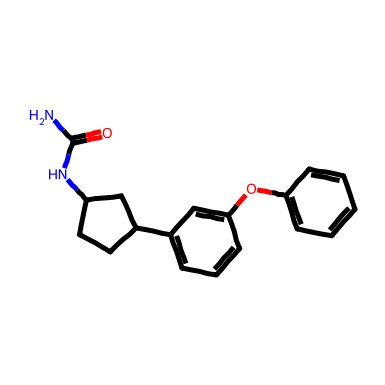 NC(=O)NC1CCC(c2cccc(Oc3ccccc3)c2)C1